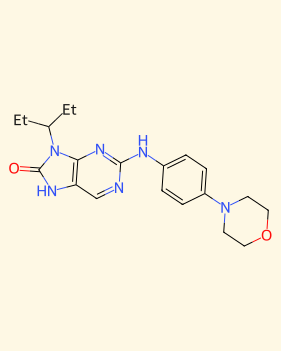 CCC(CC)n1c(=O)[nH]c2cnc(Nc3ccc(N4CCOCC4)cc3)nc21